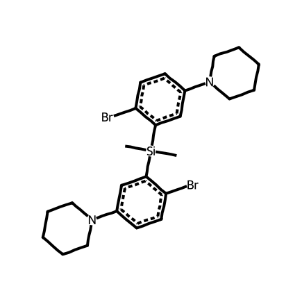 C[Si](C)(c1cc(N2CCCCC2)ccc1Br)c1cc(N2CCCCC2)ccc1Br